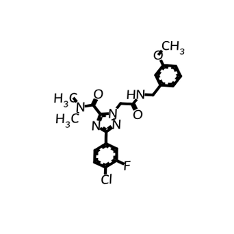 COc1cccc(CNC(=O)Cn2nc(-c3ccc(Cl)c(F)c3)nc2C(=O)N(C)C)c1